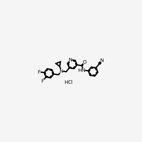 Cl.N#Cc1cccc(NC(=O)c2cncc(CN(Cc3ccc(F)c(F)c3)C3CC3)c2)c1